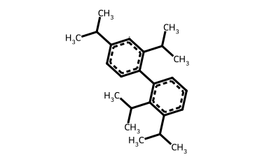 CC(C)c1[c]c(C(C)C)c(-c2cccc(C(C)C)c2C(C)C)cc1